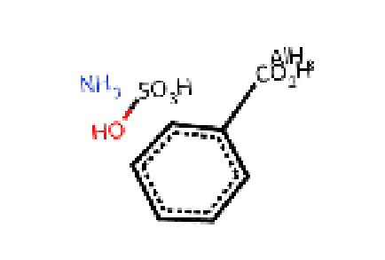 N.O=C(O)c1ccccc1.O=S(=O)(O)O.[AlH3]